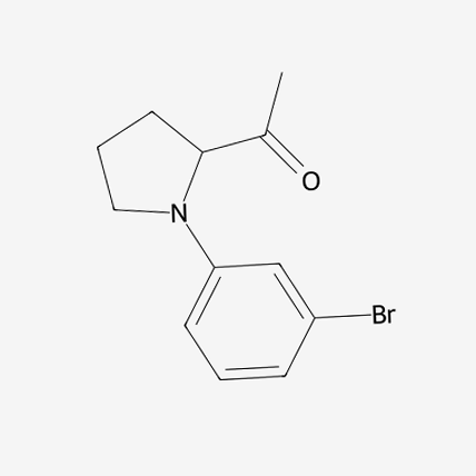 CC(=O)C1CCCN1c1cccc(Br)c1